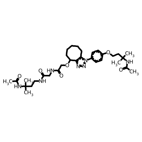 CC(=O)NC(C)(C)CCNC(=O)CNC(=O)COC1CCCCCc2c1nnn2-c1ccc(OCCC(C)(C)NC(C)=O)cc1